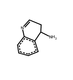 NC1CC=Nc2ccccc21